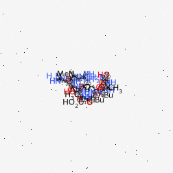 CC[C@H](C)[C@H](NC(=O)[C@H](Cc1ccccc1)NC(=O)[C@@H](NC(=O)[C@H](CC(=O)O)NC(=O)[C@H](C)NC(=O)[C@H](CO)NC(=O)[C@H](CCCNC(=N)N)NC(=O)[C@H](CCCNC(=N)N)NC)[C@@H](C)CC)C(=O)N[C@@H](C)C(=O)N[C@@H](CO)C(N)=O